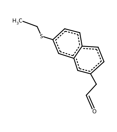 CCSc1ccc2ccc(CC=O)cc2c1